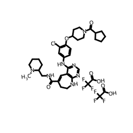 CN1CCCCC1CNC(=O)C1=Cc2c(ncnc2Nc2ccc(OC3CCN(C(=O)C4CCCC4)CC3)c(Cl)c2)NCC1.O=C(O)C(F)(F)F.O=C(O)C(F)(F)F